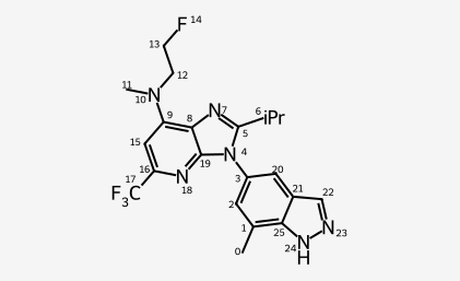 Cc1cc(-n2c(C(C)C)nc3c(N(C)CCF)cc(C(F)(F)F)nc32)cc2cn[nH]c12